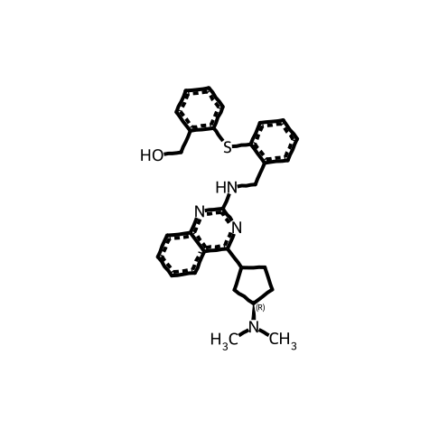 CN(C)[C@@H]1CCC(c2nc(NCc3ccccc3Sc3ccccc3CO)nc3ccccc23)C1